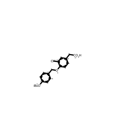 CC(C)COc1ccc(COc2ccc(CC(=O)O)cc2Cl)cc1